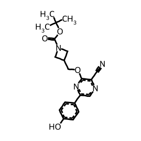 CC(C)(C)OC(=O)N1CC(COc2nc(-c3ccc(O)cc3)cnc2C#N)C1